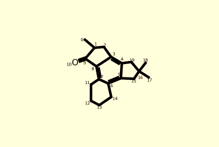 CC1Cc2c3c(c4c(c2C1=O)CCCC4)CC(C)(C)C3